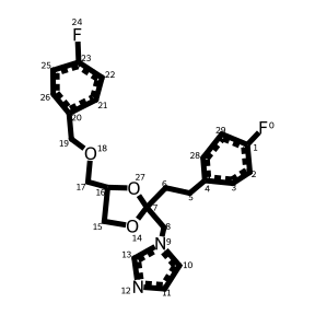 Fc1ccc(CCC2(Cn3ccnc3)OCC(COCc3ccc(F)cc3)O2)cc1